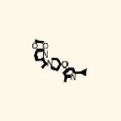 Cc1cc(OC2CCN(C(C)c3ccc4c(n3)OCCO4)CC2)cc(C2CC2)n1